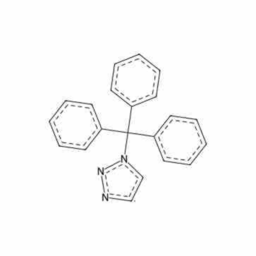 [c]1cn(C(c2ccccc2)(c2ccccc2)c2ccccc2)nn1